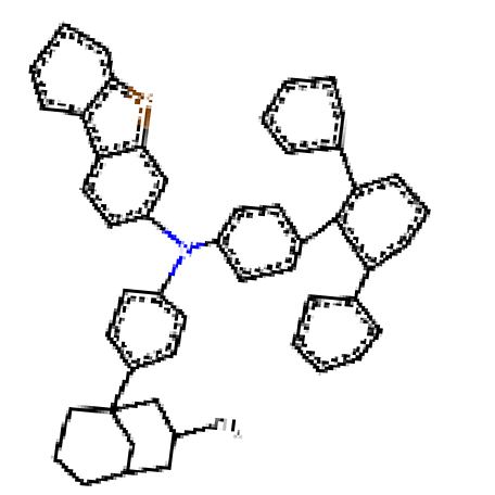 CC1CC2CCCC(c3ccc(N(c4ccc(-c5c(-c6ccccc6)cccc5-c5ccccc5)cc4)c4ccc5c(c4)sc4ccccc45)cc3)(C1)C2